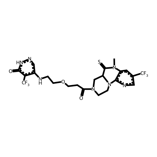 CN1C(=S)C2CN(C(=O)CCOCCNc3cn[nH]c(=O)c3C(F)(F)F)CCN2c2ncc(C(F)(F)F)cc21